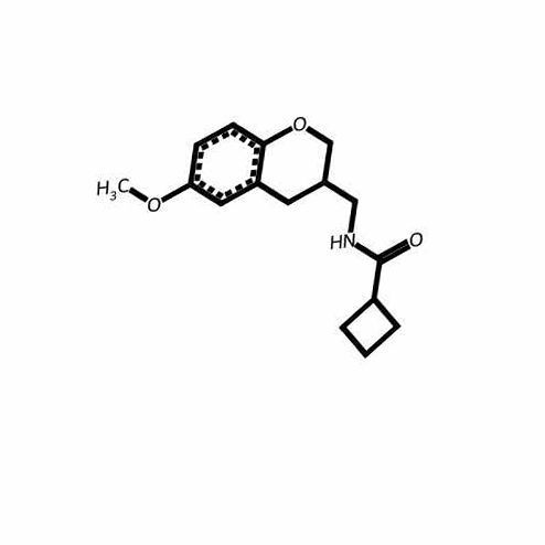 COc1ccc2c(c1)CC(CNC(=O)C1CCC1)CO2